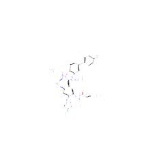 C=CC(=O)Nc1cc2c(Nc3cc(-c4ccc(F)cc4F)ccc3OC)ncnc2cc1N1CC(F)C1